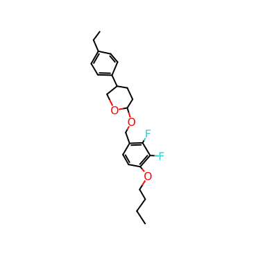 CCCCOc1ccc(COC2CCC(c3ccc(CC)cc3)CO2)c(F)c1F